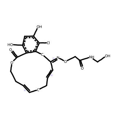 O=C(CO/N=C1\C=C\CC/C=C/CCOC(=O)c2c(O)cc(O)c(Cl)c2C1)NCO